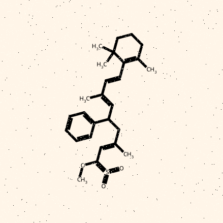 COC(C=C(C)CC(C=C(C)C=CC1=C(C)CCCC1(C)C)c1ccccc1)=S(=O)=O